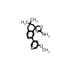 COc1cncc(-c2ccc3c(c2)C2(COC(N)=N2)CC(C)(C)C3)c1